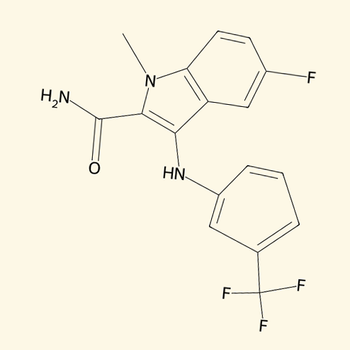 Cn1c(C(N)=O)c(Nc2cccc(C(F)(F)F)c2)c2cc(F)ccc21